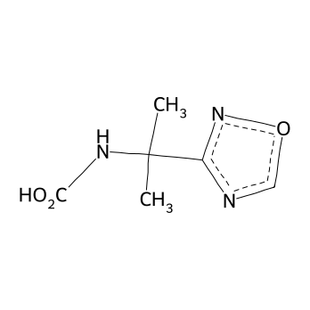 CC(C)(NC(=O)O)c1ncon1